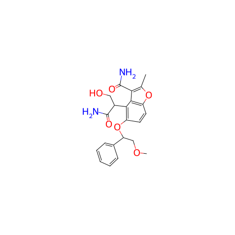 COCC(Oc1ccc2oc(C)c(C(N)=O)c2c1C(CO)C(N)=O)c1ccccc1